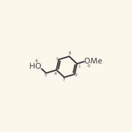 COC1=CCC(CO)=CC1